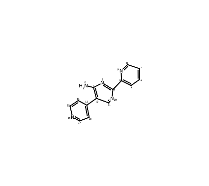 Nc1nc(-c2ccccn2)ncc1-c1ccncc1